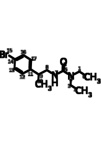 CCN(CC)C(=O)NCC(C)c1ccc(Br)cc1